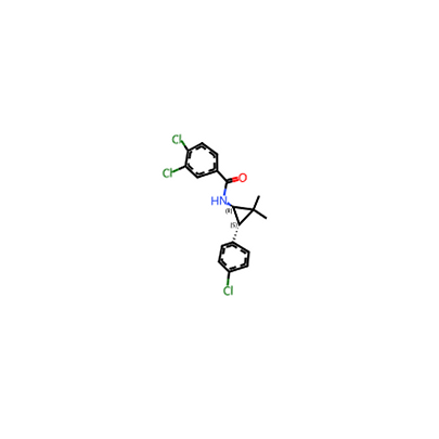 CC1(C)[C@H](NC(=O)c2ccc(Cl)c(Cl)c2)[C@H]1c1ccc(Cl)cc1